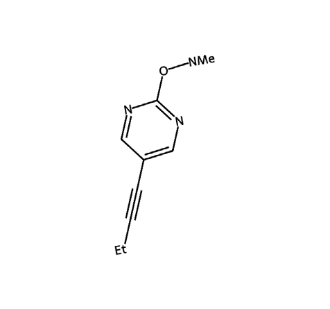 CCC#Cc1cnc(ONC)nc1